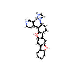 c1ccc2c(c1)oc1cc3c(cc12)oc1c3ccc2c1c1ccncc1c1nccn21